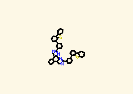 c1cc(-c2ncc3c4ccccc4c4cnc(-c5cccc(-c6cccc7c6sc6ccccc67)c5)nc4c3n2)cc(-c2cccc3c2sc2ccccc23)c1